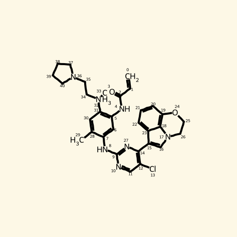 C=CC(=O)Nc1cc(Nc2ncc(Cl)c(-c3cn4c5c(cccc35)OCC4)n2)c(C)cc1N(C)CCN1CCCC1